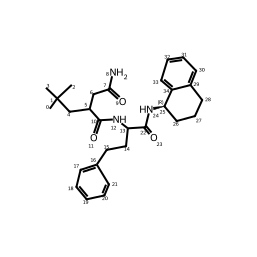 CC(C)(C)CC(CC(N)=O)C(=O)NC(CCc1ccccc1)C(=O)N[C@@H]1CCCc2ccccc21